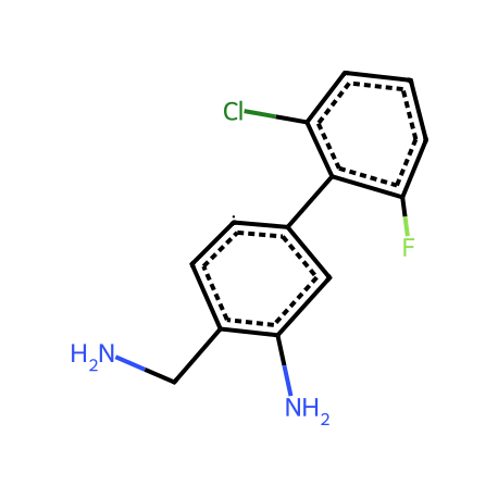 NCc1c[c]c(-c2c(F)cccc2Cl)cc1N